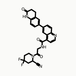 N#CC1CC(F)(F)CCN1C(=O)CNC(=O)c1ccnc2ccc(-c3ccc4c(c3)CCC(=O)N4)cc12